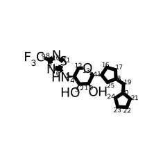 O[C@@H]1[C@H](O)[C@@H](Nc2nc(C(F)(F)F)ns2)CO[C@@H]1C1CCC(CC2CCCC2)C1